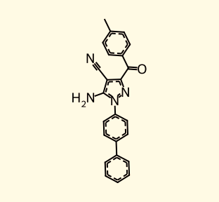 Cc1ccc(C(=O)c2nn(-c3ccc(-c4ccccc4)cc3)c(N)c2C#N)cc1